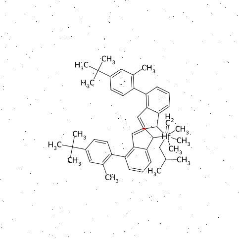 [CH2]=[Hf]([CH3])([CH3])([CH3])([CH2]C(C)C)([CH]1C=Cc2c(-c3ccc(C(C)(C)C)cc3C)cccc21)[CH]1C=Cc2c(-c3ccc(C(C)(C)C)cc3C)cccc21